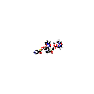 CCOC(COP(N(C(C)C)C(C)C)N(C(C)C)C(C)C)OCCSC(=O)CCN(CC)C(C)CC(C)N(C(C)C)P(OCOCOCSC(=O)C1CCN(C)CC1)N(C(C)C)C(C)C